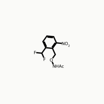 CC(=O)NOCc1c(C(F)F)cccc1[N+](=O)[O-]